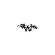 C=C(CN1CCOCC1)C(=O)NC[C@@H](NC(=O)[C@H](Cc1nc2ccc(Cl)cc2s1)NC(=O)CC)C1CCCC1